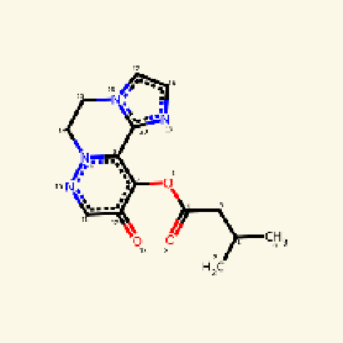 CC(C)CC(=O)Oc1c2n(ncc1=O)CCn1ccnc1-2